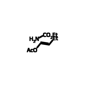 CCC=COC(C)=O.CCOC(N)=O